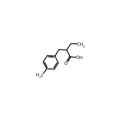 CCC(Cc1ccc(C)cc1)C(=O)O